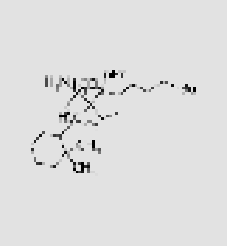 CCC[C@]1(C)C(CCCC(C)CC)CCC1(C)C(C)(N)C[C@H](CC)C1CCCCC1(C)C